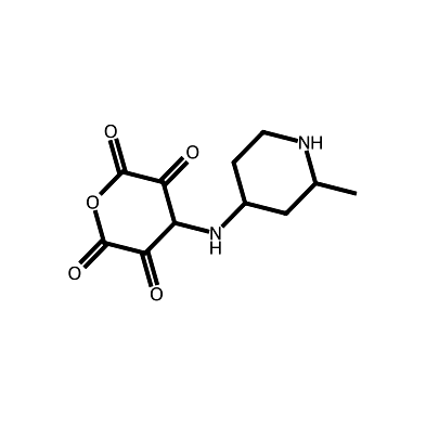 CC1CC(NC2C(=O)C(=O)OC(=O)C2=O)CCN1